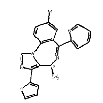 C[C@@H]1N=C(c2ccccn2)c2cc(Br)ccc2-n2cnc(-c3ccco3)c21